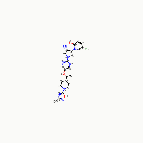 CCc1noc(N2CCC([C@H](C)Oc3cnc(N4C[C@H](N)[C@@H](n5cc(F)ccc5=O)C4)nc3)CC2)n1